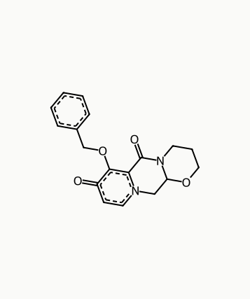 O=C1c2c(OCc3ccccc3)c(=O)ccn2CC2OCCCN12